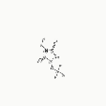 CCN1C(=O)/C(=C/C(C)(C)C)SC1=S